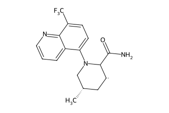 C[C@H]1C[CH]C(C(N)=O)N(c2ccc(C(F)(F)F)c3ncccc23)C1